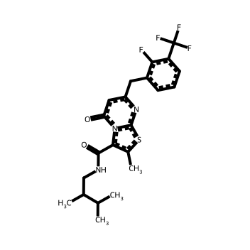 Cc1sc2nc(Cc3cccc(C(F)(F)F)c3F)cc(=O)n2c1C(=O)NCC(C)C(C)C